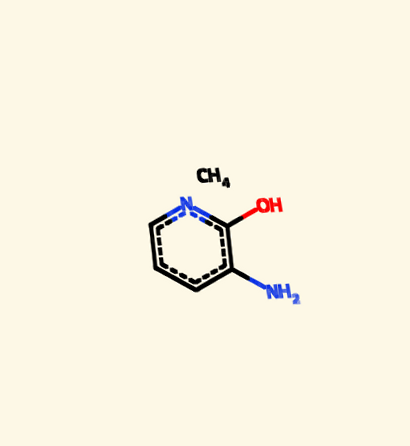 C.Nc1cccnc1O